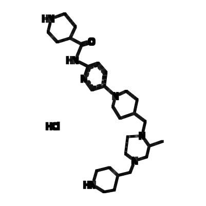 CC1CN(CC2CCNCC2)CCN1CC1CCN(c2ccc(NC(=O)C3CCNCC3)nc2)CC1.Cl